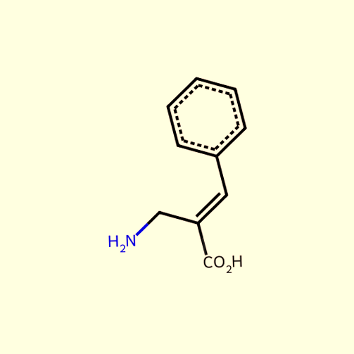 NC/C(=C\c1ccccc1)C(=O)O